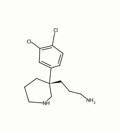 NCCC[C@]1(c2ccc(Cl)c(Cl)c2)CCCNC1